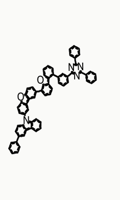 c1ccc(-c2ccc3c(c2)c2ccccc2n3-c2ccc3oc4ccc(-c5cccc6c5oc5cccc(-c7cccc(-c8nc(-c9ccccc9)nc(-c9ccccc9)n8)c7)c56)cc4c3c2)cc1